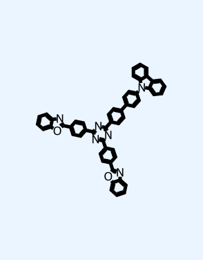 c1ccc2oc(-c3ccc(-c4nc(-c5ccc(-c6ccc(-n7c8ccccc8c8ccccc87)cc6)cc5)nc(-c5ccc(-c6nc7ccccc7o6)cc5)n4)cc3)nc2c1